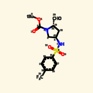 CC(C)(C)OC(=O)N1C[C@H](NS(=O)(=O)c2ccc(C(F)(F)F)cc2)C[C@H]1C=O